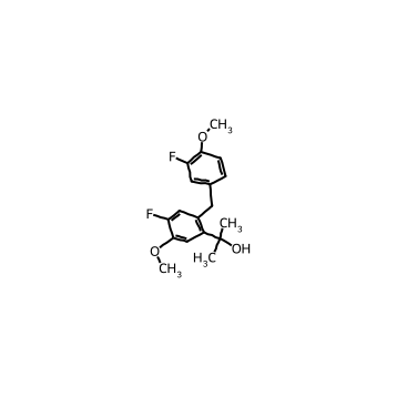 COc1ccc(Cc2cc(F)c(OC)cc2C(C)(C)O)cc1F